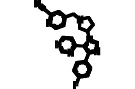 N#Cc1cc(CN2CCC(n3cnc(-c4ccc(F)cc4)c3-c3ccncn3)C2)ccn1